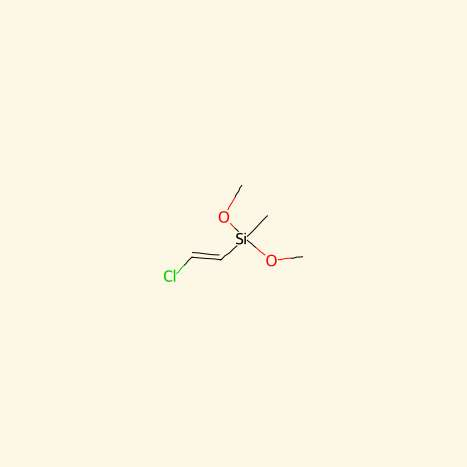 CO[Si](C)(C=CCl)OC